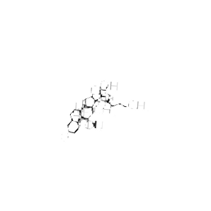 CCCCC(=O)O[C@]1(C(=O)CO)C(C)C[C@H]2[C@@H]3CCC4=CC(=O)C=C[C@]4(C)[C@@]3(F)C(O)C[C@@]21C